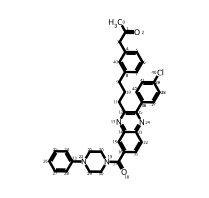 CC(=O)Cc1cccc(CCCc2nc3cc(C(=O)N4CCN(c5ccccc5)CC4)ccc3nc2-c2ccc(Cl)cc2)c1